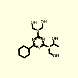 CC(O)N(CO)c1nc(C2CCCCC2)nc(N(CO)CO)n1